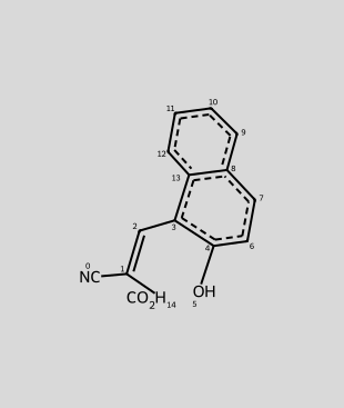 N#CC(=Cc1c(O)ccc2ccccc12)C(=O)O